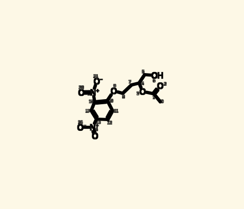 CC(=O)OC(CO)CCOc1ccc([N+](=O)[O-])cc1[N+](=O)[O-]